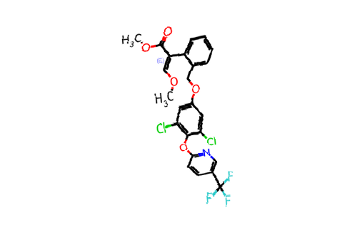 CO/C=C(/C(=O)OC)c1ccccc1COc1cc(Cl)c(Oc2ccc(C(F)(F)F)cn2)c(Cl)c1